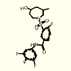 CC1CC(O)CCN(S(=O)(=O)c2cc(C(=O)Nc3cc(F)c(F)c(F)c3)ccc2F)C1